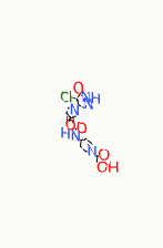 O=C(NC1CCN(C(=O)CO)CC1)O[C@@H]1CCN(c2cn[nH]c(=O)c2Cl)C1